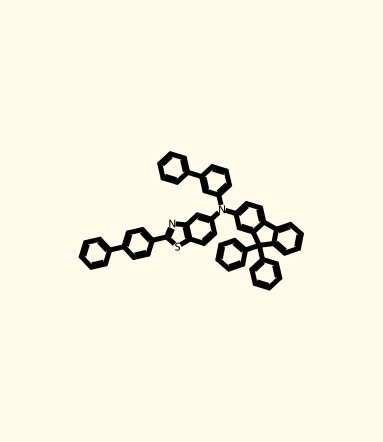 c1ccc(-c2ccc(-c3nc4cc(N(c5cccc(-c6ccccc6)c5)c5ccc6c(c5)C(c5ccccc5)(c5ccccc5)c5ccccc5-6)ccc4s3)cc2)cc1